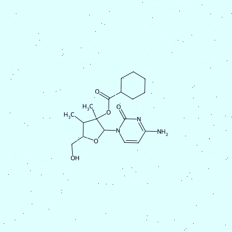 CC1C(CO)OC(n2ccc(N)nc2=O)C1(C)OC(=O)C1CCCCC1